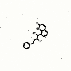 O=c1ccc2cccc(C(O)C(Br)OCc3ccccc3)c2[nH]1